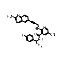 C[C@H](NC(=O)c1cc(C#N)cnc1NCC#Cc1ccc2nc(N)ncc2c1)c1ccc(F)cc1